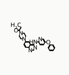 C=CC(=O)N1CCN(c2ccc3ncnc(Nc4ccc(Oc5ccccc5)cn4)c3c2)CC1